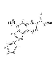 COC(=O)c1ccc2c3c(c(N)nc2c1)C=C(c1ccccc1)C3